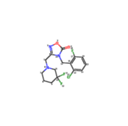 O=c1onc(CN2CCCC(F)(F)C2)n1Cc1c(F)cccc1Cl